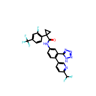 O=C(Nc1ccc(-c2ccc(C(F)F)nc2)c(-c2nnn[nH]2)c1)C1(c2ccc(C(F)(F)F)cc2F)CC1